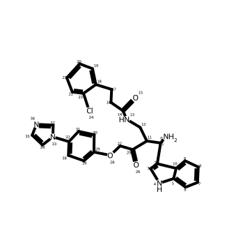 NC(c1c[nH]c2ccccc12)C(CNC(=O)CCc1ccccc1Cl)C(=O)COc1ccc(-n2ccnc2)cc1